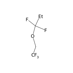 CCC(F)(F)OCC(F)(F)F